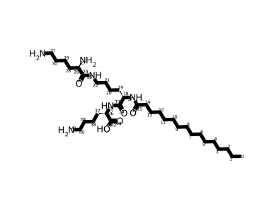 CCCCCCCCCCCCCCCC(=O)N[C@@H](CCCCNC(=O)[C@@H](N)CCCCN)C(=O)N[C@@H](CCCCN)C(=O)O